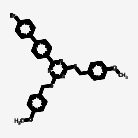 COc1ccc(CSc2nc(SCc3ccc(OC)cc3)nc(-c3ccc(-c4ccc(Br)cc4)cc3)n2)cc1